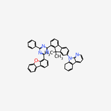 CC1(C)c2cc(-n3c4c(c5cccnc53)C=CCC4)ccc2-c2cccc(-c3nc(-c4ccccc4)nc(-c4cccc5c4oc4ccccc45)n3)c21